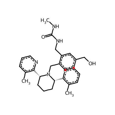 CNC(=O)NCc1cc(CO)ccc1CN1[C@@H](c2ncccc2C)CCC[C@H]1c1ncccc1C